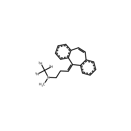 [2H]C([2H])([2H])N(C)CCC=C1c2ccccc2C=Cc2ccccc21